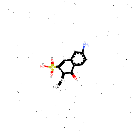 C=C=C1C(=O)c2ccc(N)cc2C=C1S(=O)(=O)O